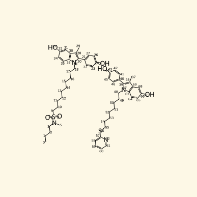 CCCCN(C)S(=O)(=O)CCCCCCCCCCn1c(-c2ccc(O)cc2)c(C)c2cc(O)ccc21.Cc1c(-c2ccc(O)cc2)n(CCCCCCCCSc2ccccn2)c2ccc(O)cc12